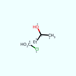 CCC(C)O.O=C(O)Cl